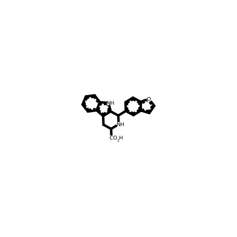 O=C(O)C1Cc2c([nH]c3ccccc23)C(c2ccc3occc3c2)N1